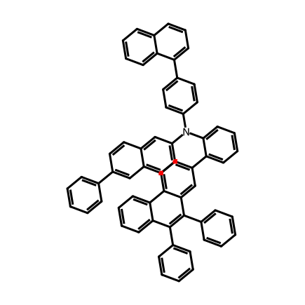 c1ccc(-c2ccc3cc(N(c4ccc(-c5cccc6ccccc56)cc4)c4ccccc4-c4ccc5c(c4)c(-c4ccccc4)c(-c4ccccc4)c4ccccc45)ccc3c2)cc1